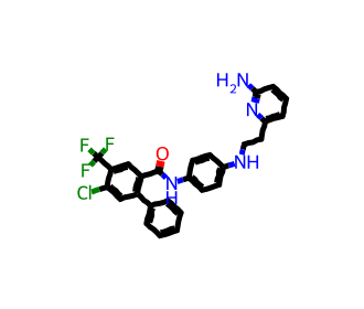 Nc1cccc(CCNc2ccc(NC(=O)c3cc(C(F)(F)F)c(Cl)cc3-c3ccccc3)cc2)n1